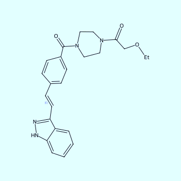 CCOCC(=O)N1CCN(C(=O)c2ccc(/C=C/c3n[nH]c4ccccc34)cc2)CC1